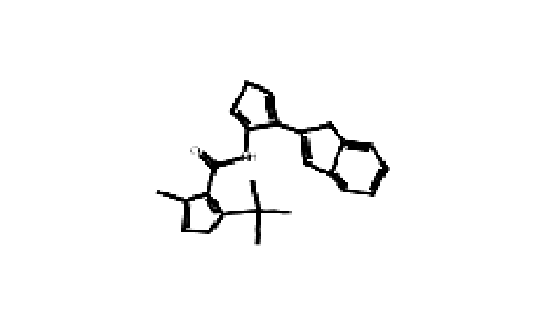 CC1=CCC(C(C)(C)C)=C1C(=O)NC1=CCC=C1C1=Cc2ccccc2C1